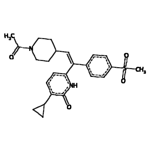 CC(=O)N1CCC(C=C(c2ccc(S(C)(=O)=O)cc2)c2ccc(C3CC3)c(=O)[nH]2)CC1